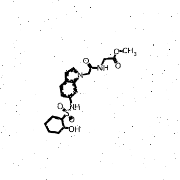 COC(=O)CNC(=O)Cn1ccc2ccc(NS(=O)(=O)C3CCCCC3O)cc21